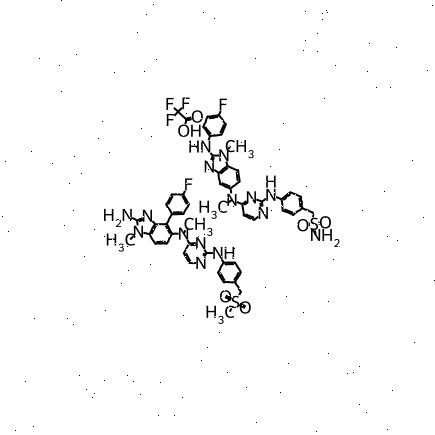 CN(c1ccc2c(c1)nc(Nc1ccc(F)cc1)n2C)c1ccnc(Nc2ccc(CS(N)(=O)=O)cc2)n1.CN(c1ccnc(Nc2ccc(CS(C)(=O)=O)cc2)n1)c1ccc2c(nc(N)n2C)c1-c1ccc(F)cc1.O=C(O)C(F)(F)F